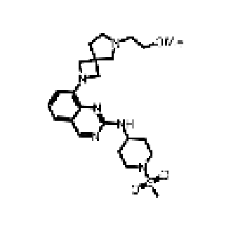 COCCN1CCC2(C1)CN(c1cccc3cnc(NC4CCN(S(C)(=O)=O)CC4)nc13)C2